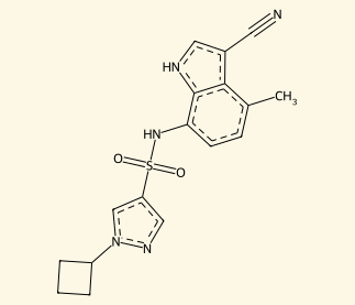 Cc1ccc(NS(=O)(=O)c2cnn(C3CCC3)c2)c2[nH]cc(C#N)c12